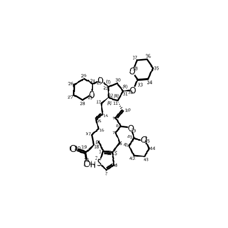 Cc1sccc1CCC(C=C[C@@H]1[C@@H](CC=CCCCC(=O)O)[C@@H](OC2CCCCO2)C[C@H]1OC1CCCCO1)OC1CCCCO1